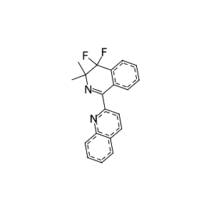 CC1(C)N=C(c2ccc3ccccc3n2)c2ccccc2C1(F)F